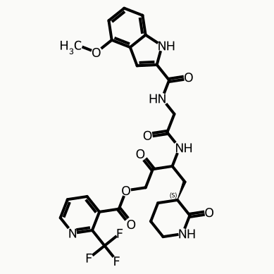 COc1cccc2[nH]c(C(=O)NCC(=O)NC(C[C@@H]3CCCNC3=O)C(=O)COC(=O)c3cccnc3C(F)(F)F)cc12